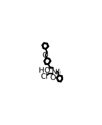 C[C@@H](c1ccccc1)N(C[C@H](O)c1ccc(OCc2ccccc2)cc1)C(=O)CCl